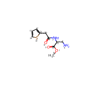 COC(=O)C(CN)NC(=O)Cc1cccs1